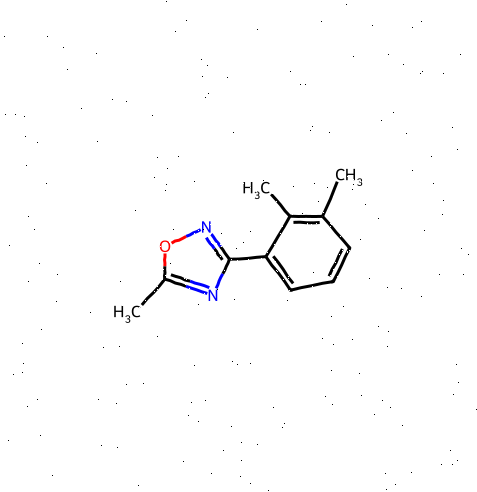 Cc1nc(-c2cccc(C)c2C)no1